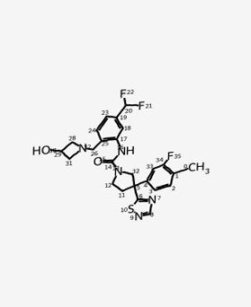 Cc1ccc(C2(c3ncns3)CCN(C(=O)Nc3cc(C(F)F)ccc3CN3CC(O)C3)C2)cc1F